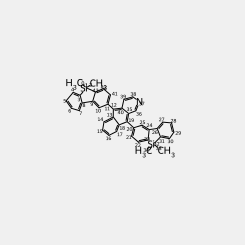 C[Si]1(C)c2ccccc2-c2cc(-c3c4ccccc4c(-c4ccc5c(c4)-c4ccccc4[Si]5(C)C)c4cnccc34)ccc21